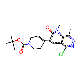 Cc1nnc(Cl)c2cc(C3=CCN(C(=O)OC(C)(C)C)CC3)c(=O)n(C)c12